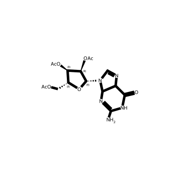 CC(=O)OC[C@H]1O[C@@H](N2C=NC3C(=O)NC(N)=NC32)[C@H](OC(C)=O)[C@@H]1OC(C)=O